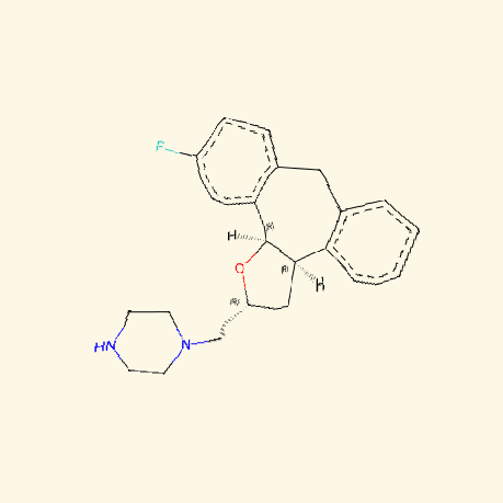 Fc1ccc2c(c1)[C@@H]1O[C@@H](CN3CCNCC3)C[C@@H]1c1ccccc1C2